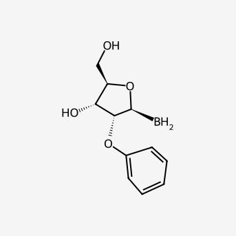 B[C@@H]1O[C@H](CO)[C@@H](O)[C@H]1Oc1ccccc1